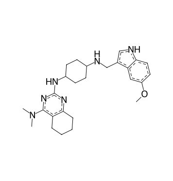 COc1ccc2[nH]cc(CNC3CCC(Nc4nc5c(c(N(C)C)n4)CCCC5)CC3)c2c1